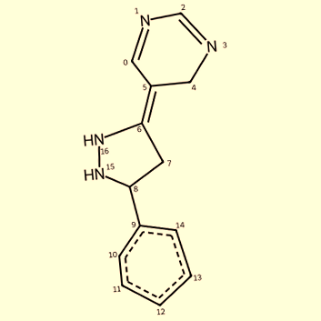 C1=NC=NCC1=C1CC(c2ccccc2)NN1